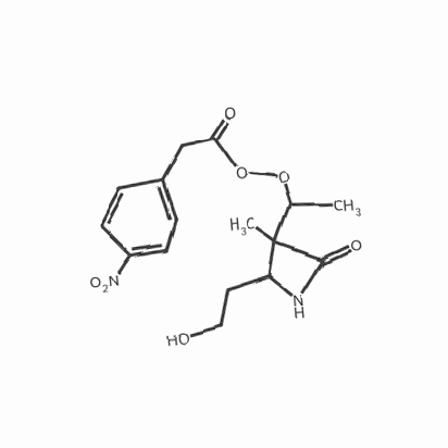 CC(OOC(=O)Cc1ccc([N+](=O)[O-])cc1)C1(C)C(=O)NC1CCO